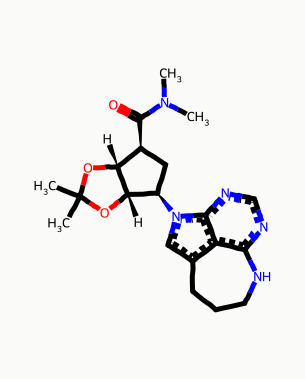 CN(C)C(=O)[C@H]1C[C@@H](n2cc3c4c(ncnc42)NCCC3)[C@@H]2OC(C)(C)O[C@@H]21